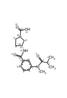 CC(C)C(=O)N(C)c1ccnc(C(=O)N[C@@H]2CCN(C(=O)O)C2)c1